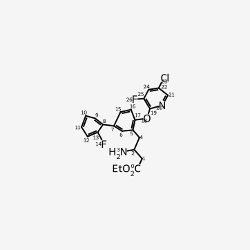 CCOC(=O)CC(N)Cc1cc(-c2ccccc2F)ccc1Oc1ncc(Cl)cc1F